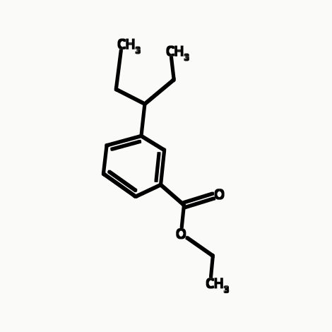 CCOC(=O)c1cccc(C(CC)CC)c1